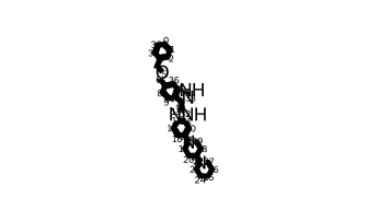 c1ccc(COCc2ccc3c(-c4nc5ccc(N6CCC(N7CCCCC7)CC6)cc5[nH]4)n[nH]c3c2)cc1